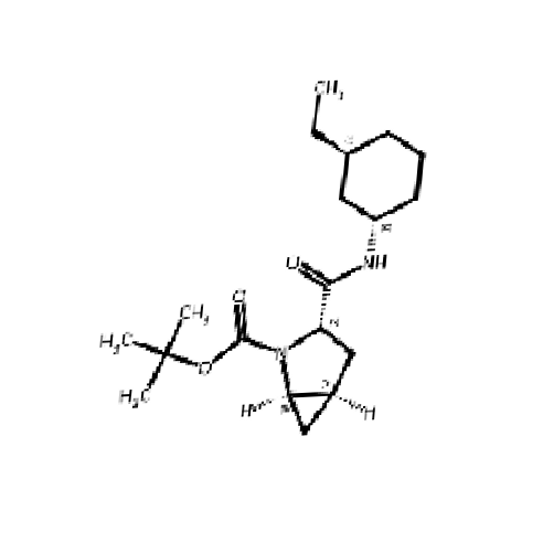 CC[C@H]1CCC[C@H](NC(=O)[C@@H]2C[C@H]3C[C@H]3N2C(=O)OC(C)(C)C)C1